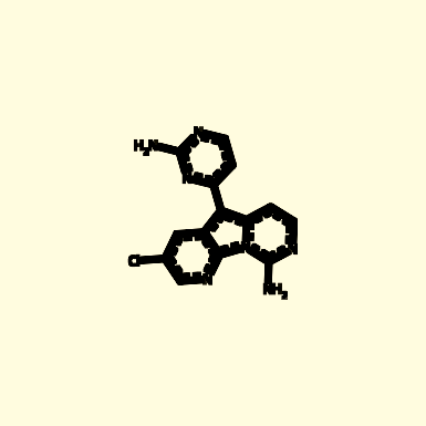 Nc1nccc(-c2c3cc(Cl)cnc3n3c(N)nccc23)n1